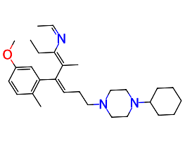 C\C=N/C(CC)=C(C)/C(=C\CCN1CCN(C2CCCCC2)CC1)c1cc(OC)ccc1C